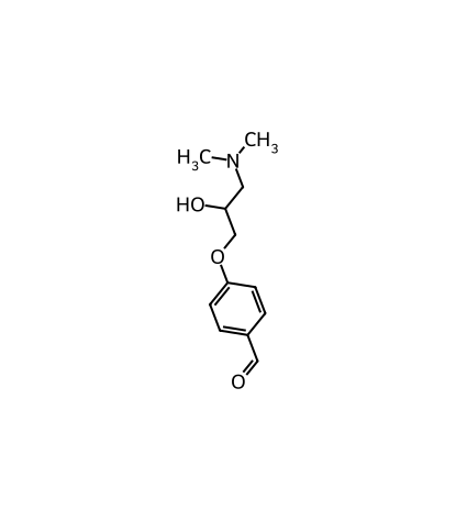 CN(C)CC(O)COc1ccc(C=O)cc1